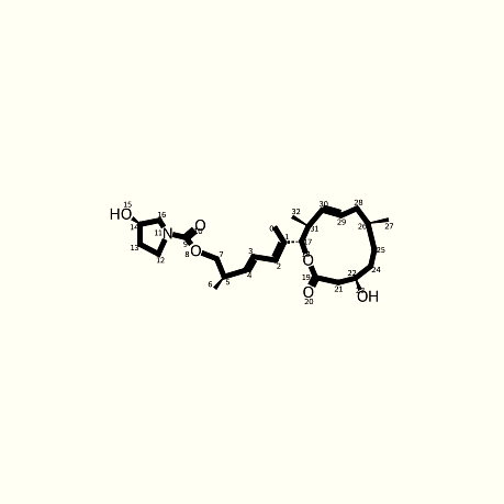 C/C(=C\C=C\[C@@H](C)COC(=O)N1CC[C@@H](O)C1)[C@H]1OC(=O)C[C@H](O)CC[C@H](C)C/C=C/[C@@H]1C